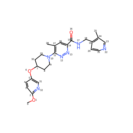 COc1ccc(OC2CCN(c3nnc(C(=O)NCc4ccncc4C)cc3C)CC2)cn1